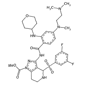 COC(=O)n1nc(NC(=O)c2ccc(N(C)CCN(C)C)cc2NC2CCOCC2)c2c1CCNC2S(=O)(=O)c1cc(F)cc(F)c1